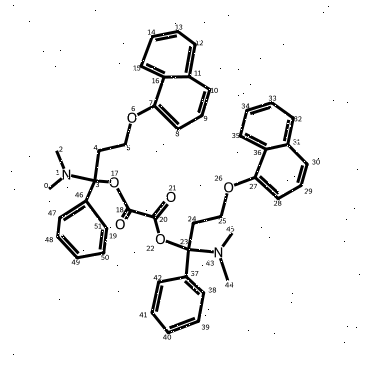 CN(C)C(CCOc1cccc2ccccc12)(OC(=O)C(=O)OC(CCOc1cccc2ccccc12)(c1ccccc1)N(C)C)c1ccccc1